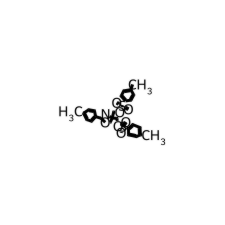 Cc1ccc(C2=NC(COS(=O)(=O)c3ccc(C)cc3)(COS(=O)(=O)c3ccc(C)cc3)CO2)cc1